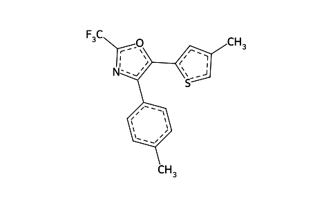 Cc1ccc(-c2nc(C(F)(F)F)oc2-c2cc(C)cs2)cc1